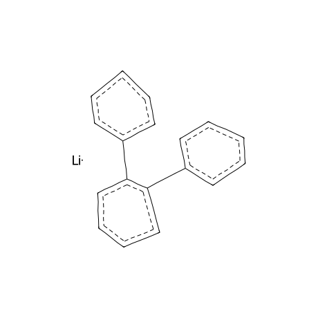 [Li].c1ccc(-c2ccccc2-c2ccccc2)cc1